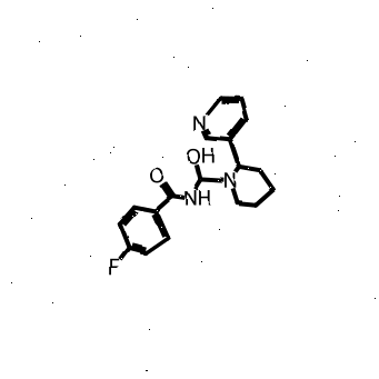 O=C(NC(O)N1CCCCC1c1cccnc1)c1ccc(F)cc1